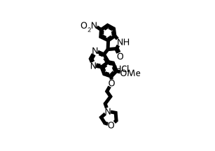 COc1cc2c(C3C(=O)Nc4ccc([N+](=O)[O-])cc43)ncnc2cc1OCCCN1CCOCC1.Cl